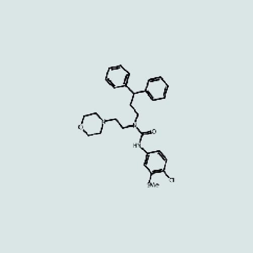 CSc1cc(NC(=O)N(CCC(c2ccccc2)c2ccccc2)CCN2CCOCC2)ccc1Cl